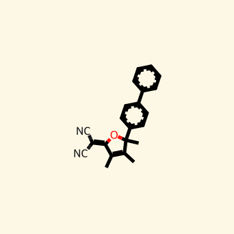 CC1=C(C)C(C)(c2ccc(-c3ccccc3)cc2)OC1=C(C#N)C#N